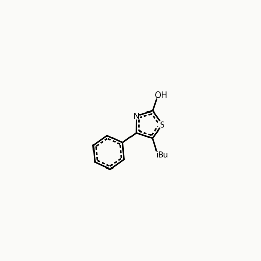 CCC(C)c1sc(O)nc1-c1ccccc1